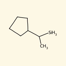 CC([SiH3])C1CCCC1